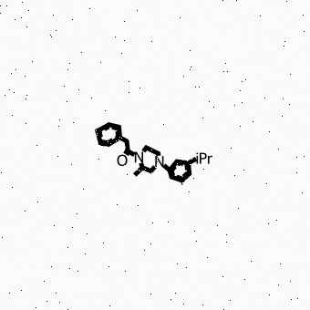 CC(C)c1c[c]cc(N2CCN(C(=O)Cc3ccccc3)C(C)C2)c1